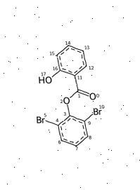 O=C(Oc1c(Br)cccc1Br)c1ccccc1O